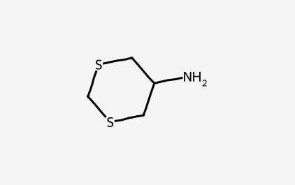 NC1CSCSC1